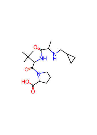 CC(NCC1CC1)C(=O)NC(C(=O)N1CCCC1C(=O)O)C(C)(C)C